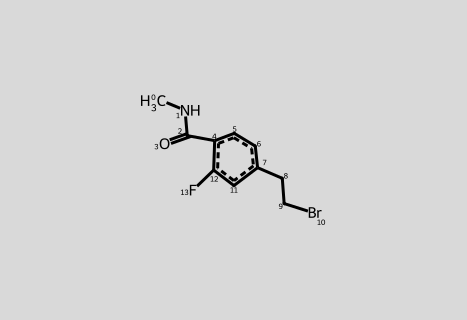 CNC(=O)c1ccc(CCBr)cc1F